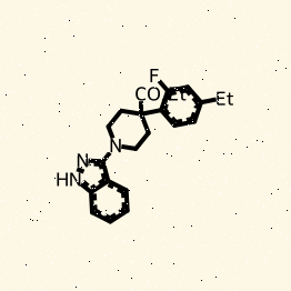 CCOC(=O)C1(c2ccc(CC)cc2F)CCN(c2n[nH]c3ccccc23)CC1